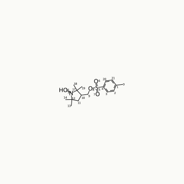 Cc1ccc(S(=O)(=O)OCC2CC(C)(C)N(O)C2(C)C)cc1